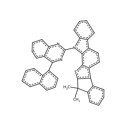 CC1(C)c2ccccc2-c2c1sc1c2ccc2c3ccccc3n(-c3nc(-c4cccc5ccccc45)c4ccccc4n3)c21